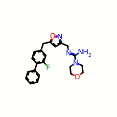 N/C(=N\Cc1cc(Cc2ccc(-c3ccccc3)c(F)c2)on1)N1CCOCC1